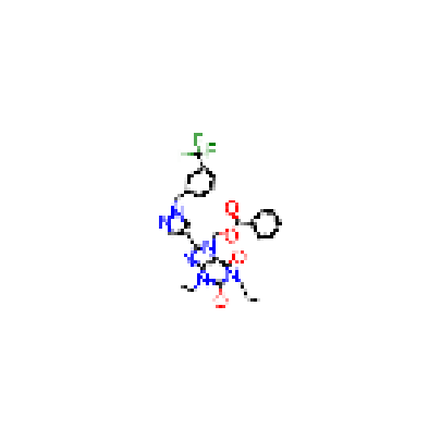 CCCn1c(=O)c2c(nc(-c3cnn(Cc4cccc(C(F)(F)F)c4)c3)n2COC(=O)c2ccccc2)n(CC)c1=O